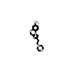 Cc1ccc2c(c1)OCc1nc(CCN3CCOCC3)cn1-2